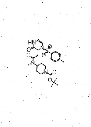 Cc1ccc(S(=O)(=O)N2C=CNC(=O)[C@H]2CC(=O)N(C)C2CCN(C(=O)OC(C)(C)C)CC2)cc1